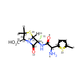 Cc1ccc(C(N)C(=O)N[C@@]2(F)C(=O)N3[C@@H](C(=O)O)C(C)(C)S[C@@H]32)s1